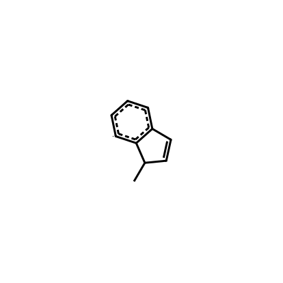 CC1C=Cc2ccc[c]c21